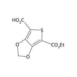 CCOC(=O)c1sc(C(=O)O)c2c1OCO2